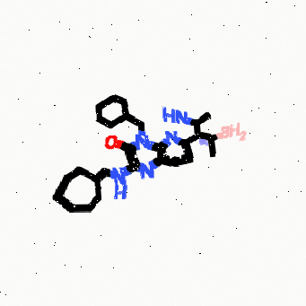 B/C(C)=C(\C(C)=N)c1ccc2nc(NCC3CCCCCC3)c(=O)n(CC3CCCCC3)c2n1